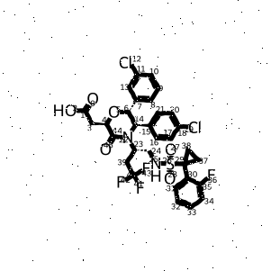 O=C(O)C[C@H]1O[C@H](c2cccc(Cl)c2)[C@@H](c2ccc(Cl)cc2)N([C@H](CNS(=O)(=O)C2(c3ccccc3F)CC2)CC(F)(F)F)C1=O